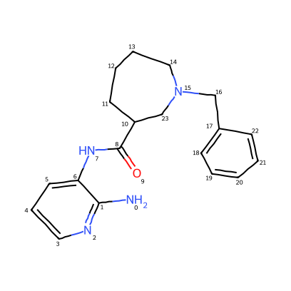 Nc1ncccc1NC(=O)C1CCCCN(Cc2ccccc2)C1